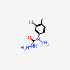 Cc1ccc(N(N)C(=O)NN)cc1Cl